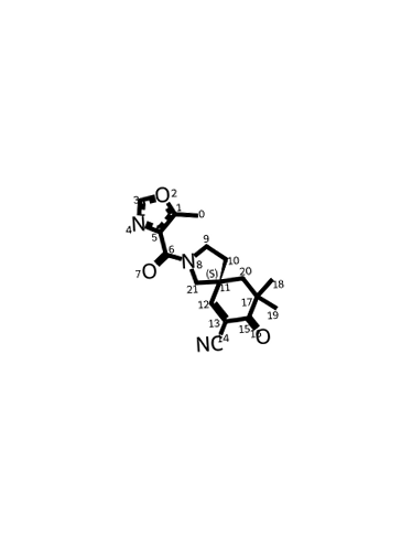 Cc1ocnc1C(=O)N1CC[C@@]2(C=C(C#N)C(=O)C(C)(C)C2)C1